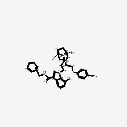 CCc1cccc2c(C(=O)NCc3ccccc3)cn(CCCN3[C@@H]4CC[C@H]3CN(CCOc3ccc(F)cc3)C4)c12